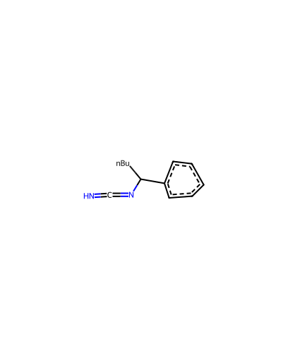 CCCCC(N=C=N)c1ccccc1